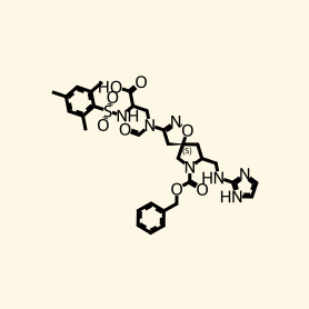 Cc1cc(C)c(S(=O)(=O)NC(CN(C=O)C2=NO[C@]3(C2)CC(CNc2ncc[nH]2)N(C(=O)OCc2ccccc2)C3)C(=O)O)c(C)c1